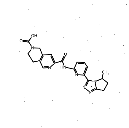 CC1CCc2nnc(-c3cccc(NC(=O)c4cc5c(cn4)CCN(C(=O)O)C5)n3)n21